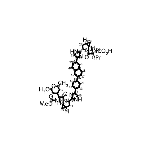 COC(=O)N[C@H](C(=O)N1C(c2nc(-c3ccc(-c4ccc5cc(-c6c[nH]c([C@@H]7C[C@H]8C[C@H]8N7C(=O)[C@@H](NC(=O)O)C(C)C)n6)ccc5c4)cc3)c[nH]2)C[C@@H]2C[C@H]21)C1C[C@@H](C)O[C@@H](C)C1